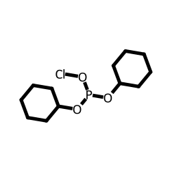 ClOP(OC1CCCCC1)OC1CCCCC1